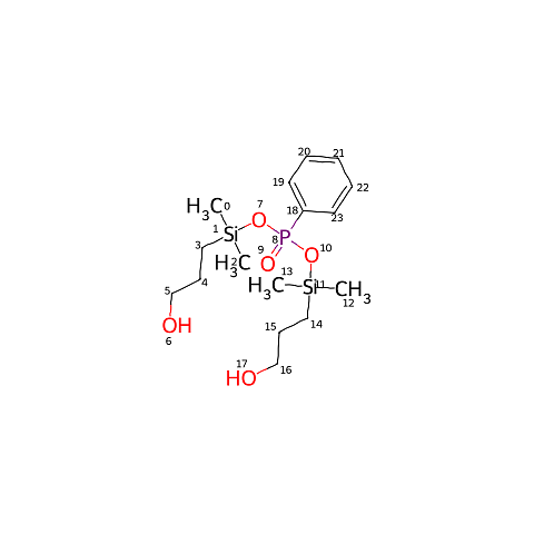 C[Si](C)(CCCO)OP(=O)(O[Si](C)(C)CCCO)c1ccccc1